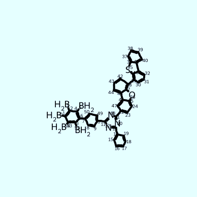 Bc1c(B)c(B)c(-c2ccc(-c3nc(-c4ccccc4)nc(-c4ccc5oc6c(-c7cccc8c7sc7ccccc78)cccc6c5c4)n3)cc2)c(B)c1B